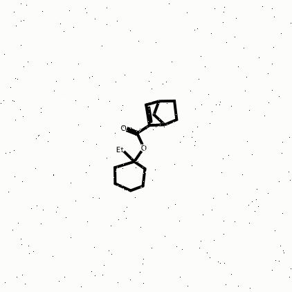 CCC1(OC(=O)C2=CC3CCC2C3)CCCCC1